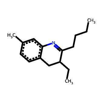 CCCCC1=Nc2cc(C)ccc2CC1CC